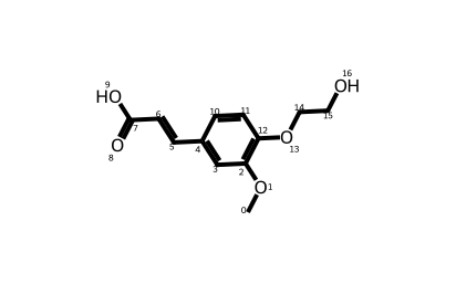 COc1cc(C=CC(=O)O)ccc1OCCO